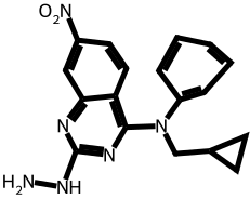 NNc1nc(N(CC2CC2)c2ccccc2)c2ccc([N+](=O)[O-])cc2n1